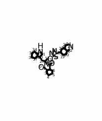 O=C1c2ccccc2C(=O)N1C(COc1nnc(-c2ccc3cnccc3c2)s1)Cc1c[nH]c2ccccc12